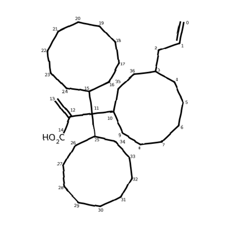 C=CCC1CCCCCCC(C(C(=C)C(=O)O)(C2CCCCCCCCC2)C2CCCCCCCCC2)CC1